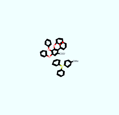 COc1ccc([S+](c2ccccc2)c2ccccc2)cc1.O=C([O-])c1cc(Oc2ccccc2)c(Oc2ccccc2)c(Oc2ccccc2)c1-c1ccccc1